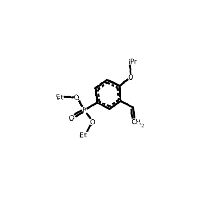 C=Cc1cc(P(=O)(OCC)OCC)ccc1OC(C)C